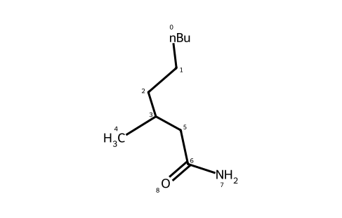 CCCCCCC(C)CC(N)=O